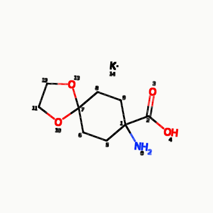 NC1(C(=O)O)CCC2(CC1)OCCO2.[K]